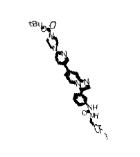 CC(C)(C)OC(=O)N1CCN(c2ccc(-c3ccn4c(-c5cccc(NC(=O)NCC(F)(F)F)c5)cnc4c3)cn2)CC1